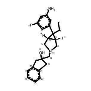 CCC1(c2cc(N)cc(F)c2)[C@@H]2CN(CC3(O)Cc4ccccc4C3)C[C@@H]21